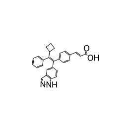 O=C(O)C=Cc1ccc(C(=C(c2ccccc2)C2CCC2)c2ccc3[nH]ncc3c2)cc1